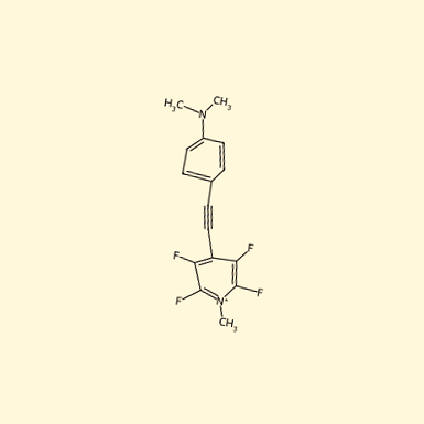 CN(C)c1ccc(C#Cc2c(F)c(F)[n+](C)c(F)c2F)cc1